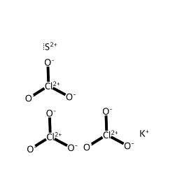 [K+].[O-][Cl+2]([O-])[O-].[O-][Cl+2]([O-])[O-].[O-][Cl+2]([O-])[O-].[S+2]